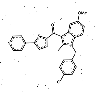 COc1ccc2c(c1)c(C(=O)c1ccc(-c3ccncc3)s1)c(C)n2Cc1ccc(Cl)cc1